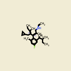 C=CNC/C(C)=C(\C(CC1CC1)=C(/C)CC)c1c(C)cc(F)cc1C(=C)C(C)CC